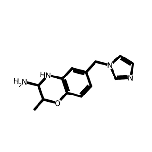 CC1Oc2ccc(Cn3ccnc3)cc2NC1N